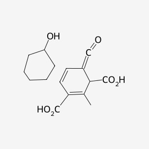 CC1=C(C(=O)O)C=CC(=C=O)C1C(=O)O.OC1CCCCC1